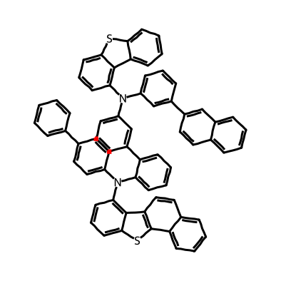 c1ccc(-c2ccc(N(c3ccccc3-c3cccc(N(c4cccc(-c5ccc6ccccc6c5)c4)c4cccc5sc6ccccc6c45)c3)c3cccc4sc5c6ccccc6ccc5c34)cc2)cc1